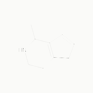 CC1NCCC2=C1C=CC2